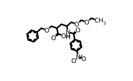 CCOCOCC(CC(COCc1ccccc1)C(=O)O)NC(=O)c1ccc([N+](=O)[O-])cc1